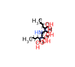 CCCC/C(C(=O)O)=C(/C(=O)O)C1=C(/C(C(=O)O)=C(\CCCC)C(=O)O)N1